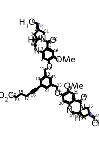 C/C=C1\C[C@H]2C=Nc3cc(OCc4cc(C#CCCCC(=O)O)cc(COc5cc6c(cc5OC)C(=O)N5C/C(=C/C)C[C@H]5C=N6)c4)c(OC)cc3C(=O)N2C1